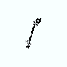 Cc1ccc(S(=O)(=O)OCCCCCOCCCNC(=O)OC(C)(C)C)cc1